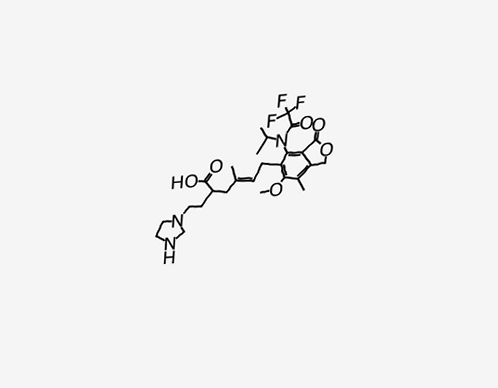 COc1c(C)c2c(c(N(C(=O)C(F)(F)F)C(C)C)c1C/C=C(\C)CC(CCN1CCNC1)C(=O)O)C(=O)OC2